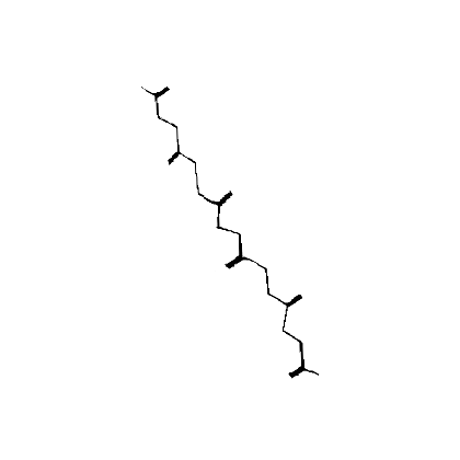 O=C(O)CCC(=O)CCC(=O)CCC(=O)CCC(=O)CCC(=O)O